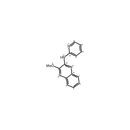 COc1nc2ccccc2nc1Nc1ccccn1